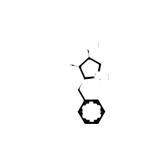 O[C@@H]1[C@H](Cc2ccccc2)NC[C@@H]1O